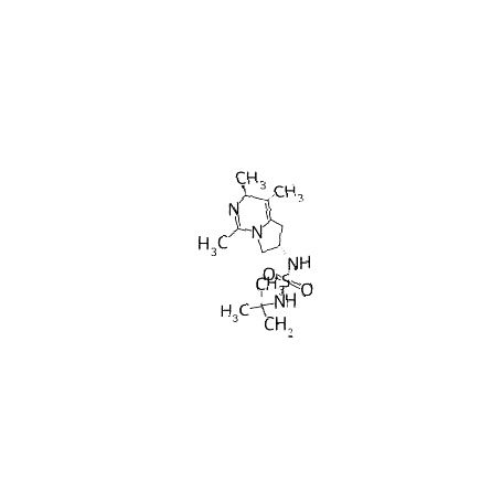 CC1=N[C@@H](C)C(C)=C2C[C@H](NS(=O)(=O)NC(C)(C)C)CN12